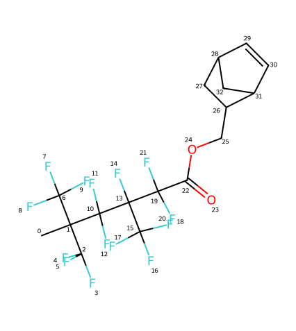 CC(C(F)(F)F)(C(F)(F)F)C(F)(F)C(F)(C(F)(F)F)C(F)(F)C(=O)OCC1CC2C=CC1C2